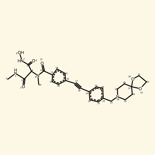 CNC(=O)C(C(=O)NO)N(C)C(=O)c1ccc(C#Cc2ccc(CN3CCC4(CC3)OCCO4)cc2)cc1